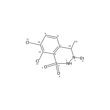 CCN1NS(=O)(=O)c2c(ccc(Cl)c2Cl)C1C